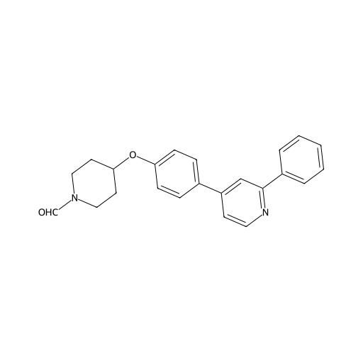 O=CN1CCC(Oc2ccc(-c3ccnc(-c4ccccc4)c3)cc2)CC1